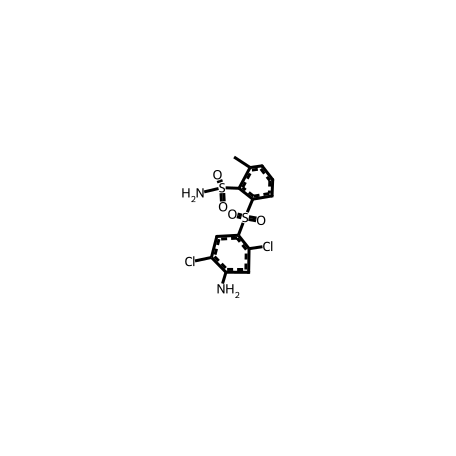 Cc1cccc(S(=O)(=O)c2cc(Cl)c(N)cc2Cl)c1S(N)(=O)=O